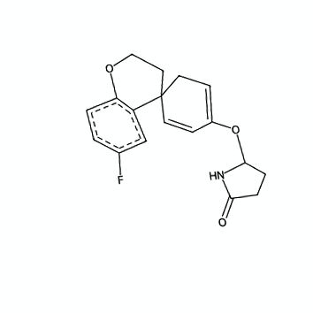 O=C1CCC(OC2=CCC3(C=C2)CCOc2ccc(F)cc23)N1